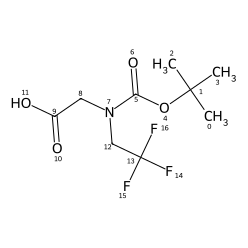 CC(C)(C)OC(=O)N(CC(=O)O)CC(F)(F)F